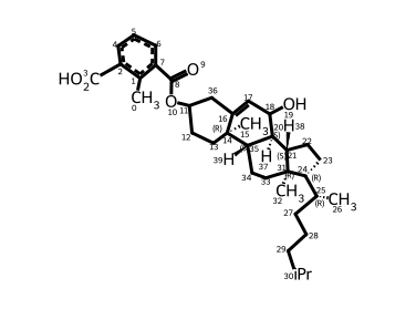 Cc1c(C(=O)O)cccc1C(=O)OC1CC[C@@]2(C)C(=CC(O)[C@H]3[C@@H]4CC[C@H]([C@H](C)CCCC(C)C)[C@@]4(C)CC[C@@H]32)C1